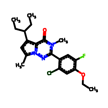 CCOc1cc(Cl)c(-c2nn3c(C)cc(C(CC)CC)c3c(=O)n2C)cc1F